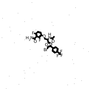 CC(=O)NC(COc1ccc(F)c(C(N)=O)c1F)c1nc(-c2ccc(C(F)(F)F)cc2)c(Br)o1